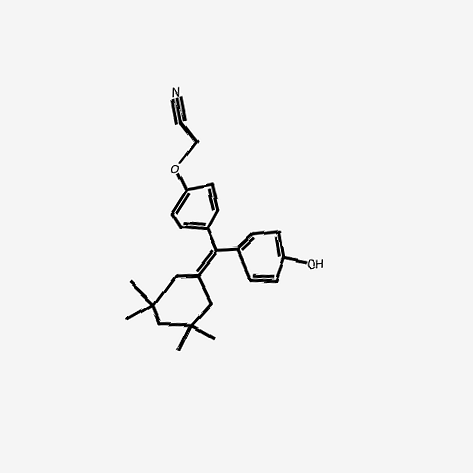 CC1(C)CC(=C(c2ccc(O)cc2)c2ccc(OCC#N)cc2)CC(C)(C)C1